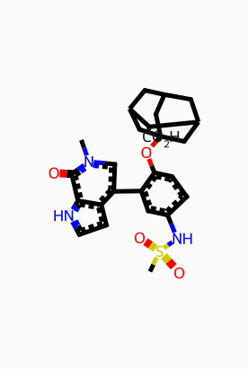 Cn1cc(-c2cc(NS(C)(=O)=O)ccc2OC23CC4CC(C2)C(C(=O)O)C(C4)C3)c2cc[nH]c2c1=O